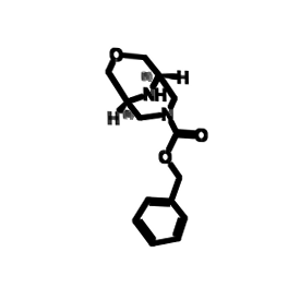 O=C(OCc1ccccc1)N1C[C@H]2COC[C@@H](C1)N2